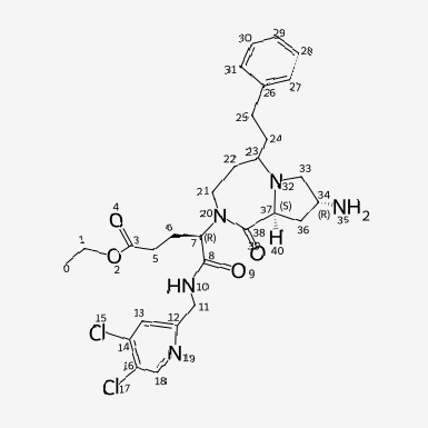 CCOC(=O)CC[C@H](C(=O)NCc1cc(Cl)c(Cl)cn1)N1CCC(CCc2ccccc2)N2C[C@H](N)C[C@H]2C1=O